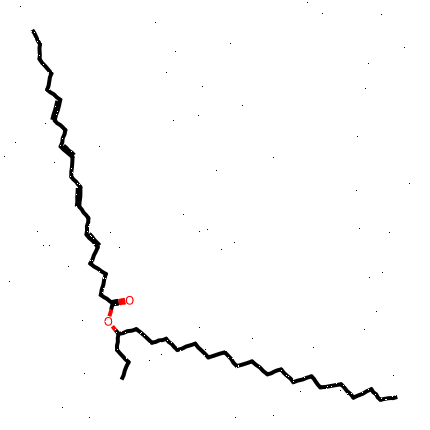 CCCCCC=CCC=CCC=CCC=CCCCC(=O)OC(CCC)CCCCCCCCCCCCCCCCCCC